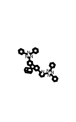 c1ccc(-c2nc(-c3ccccc3)nc(-c3ccc4c(c3)-c3ccc(-c5cccc(-c6nc(-c7ccccc7)nc(-c7ccccc7)n6)n5)cc3C43C4CC5CC(C4)CC3C5)n2)cc1